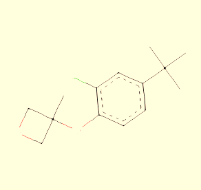 CC1(Oc2ccc(C(C)(C)C)cc2Cl)COC1